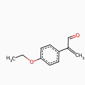 C=C(C=O)c1ccc(OCC)cc1